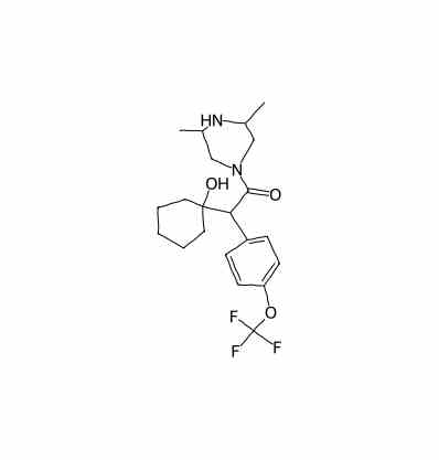 CC1CN(C(=O)C(c2ccc(OC(F)(F)F)cc2)C2(O)CCCCC2)CC(C)N1